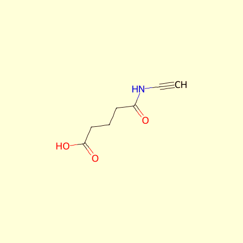 C#CNC(=O)CCCC(=O)O